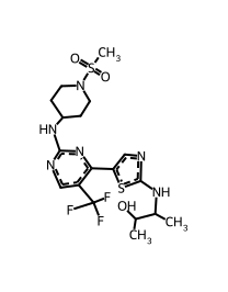 CC(O)C(C)Nc1ncc(-c2nc(NC3CCN(S(C)(=O)=O)CC3)ncc2C(F)(F)F)s1